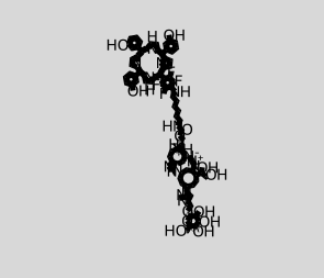 [N-]=[N+]=NC1CC(n2nnc3c2CC[C@@H]2[C@H](CC3)[C@H]2COC(=O)NCCCCCCNc2c(F)c(F)c(-c3c4nc(c(-c5cccc(O)c5)c5ccc([nH]5)c(-c5cccc(O)c5)c5nc(c(-c6cccc(O)c6)c6ccc3[nH]6)C=C5)C=C4)c(F)c2F)CCC(n2cc(CO[C@H]3OC(CO)[C@@H](O)C(O)C3O)nn2)CCC1C(O)CO